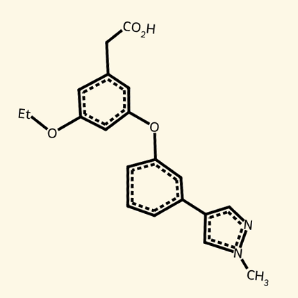 CCOc1cc(CC(=O)O)cc(Oc2cccc(-c3cnn(C)c3)c2)c1